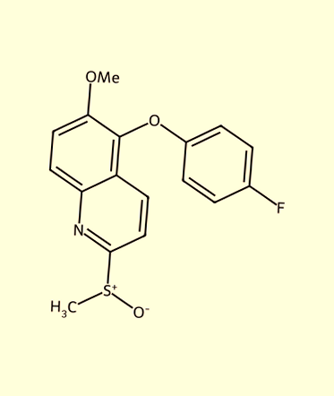 COc1ccc2nc([S+](C)[O-])ccc2c1Oc1ccc(F)cc1